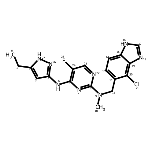 CCc1cc(Nc2nc(N(C)Cc3ccc4[nH]cnc4c3Cl)ncc2F)n[nH]1